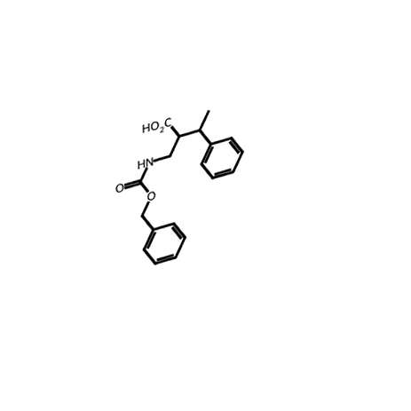 CC(c1ccccc1)C(CNC(=O)OCc1ccccc1)C(=O)O